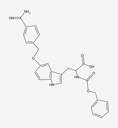 N=C(N)c1ccc(COc2ccc3[nH]cc(CC(NC(=O)OCc4ccccc4)C(=O)O)c3c2)cc1